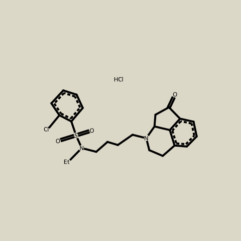 CCN(CCCCN1CCc2cccc3c2C1CC3=O)S(=O)(=O)c1ccccc1Cl.Cl